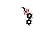 CCCC(=O)Oc1cccc(-c2ccccc2)c1